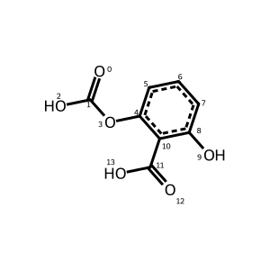 O=C(O)Oc1cccc(O)c1C(=O)O